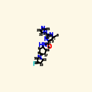 Cc1cc(C(=O)NC2CCC(N3CCC(F)C3)CC2)nc(-n2ccnc2)n1